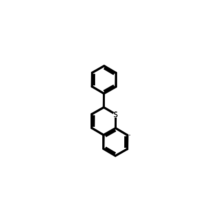 [c]1cccc2c1SC(c1ccccc1)C=C2